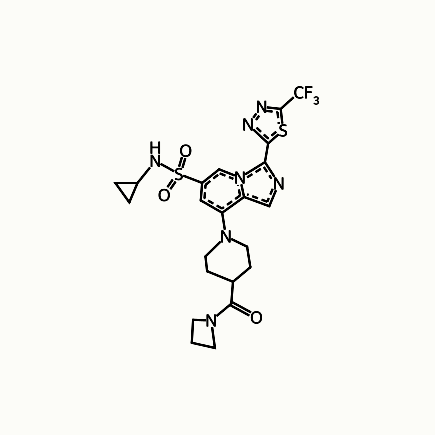 O=C(C1CCN(c2cc(S(=O)(=O)NC3CC3)cn3c(-c4nnc(C(F)(F)F)s4)ncc23)CC1)N1CCC1